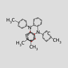 Cc1ccc(N(c2ccc(C)cc2)c2ccccc2N(c2ccc(C)cc2)c2ccc(C)cc2)cc1